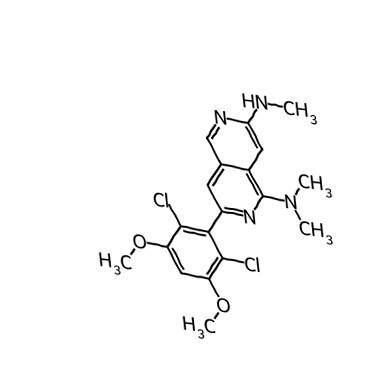 CNc1cc2c(N(C)C)nc(-c3c(Cl)c(OC)cc(OC)c3Cl)cc2cn1